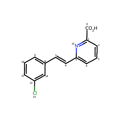 O=C(O)c1cccc(C=Cc2cccc(Cl)c2)n1